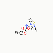 CCc1ccc2occ(-c3nnc(-c4c(C)nc5sc6ccccc6n45)o3)c(=O)c2c1